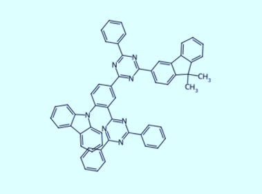 CC1(C)c2ccccc2-c2cc(-c3nc(-c4ccccc4)nc(-c4ccc(-n5c6ccccc6c6ccccc65)c(-c5nc(-c6ccccc6)nc(-c6ccccc6)n5)c4)n3)ccc21